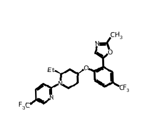 CC[C@H]1C[C@@H](Oc2ccc(C(F)(F)F)cc2-c2cnc(C)o2)CCN1c1ccc(C(F)(F)F)cn1